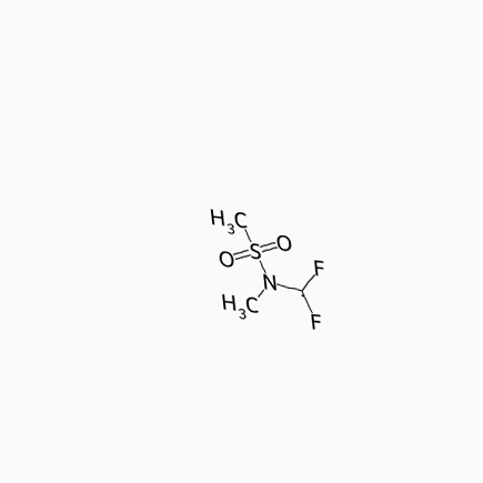 CN([C](F)F)S(C)(=O)=O